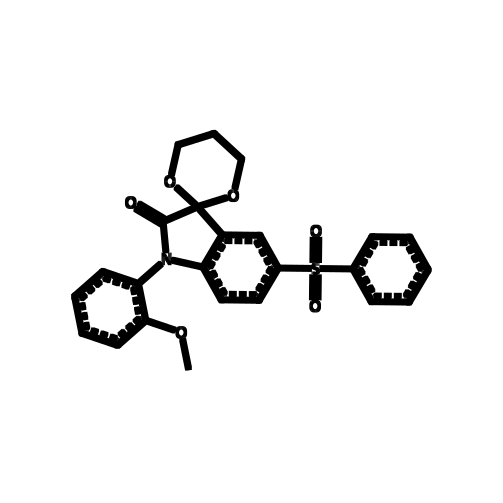 COc1ccccc1N1C(=O)C2(OCCCO2)c2cc(S(=O)(=O)c3ccccc3)ccc21